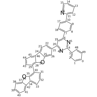 c1ccc(-c2nc(-c3ccc(-c4ccccn4)cc3)cc(-c3ccc4c(c3)oc3c(-c5cccc6c5oc5ccccc56)cccc34)n2)cc1